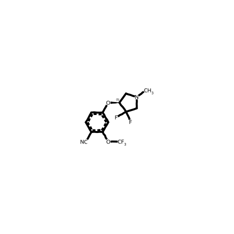 CN1C[C@H](Oc2ccc(C#N)c(OC(F)(F)F)c2)C(F)(F)C1